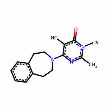 CCCn1c(C)nc(N2CCc3ccccc3CC2)c(C#N)c1=O